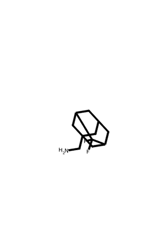 NCC12CC3CC(C1)C(F)(F)C(C3)C2